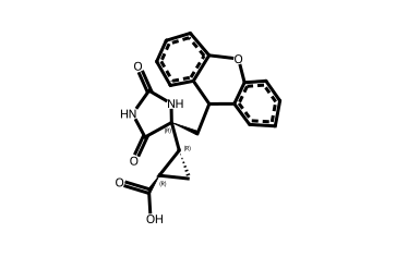 O=C1NC(=O)[C@@](CC2c3ccccc3Oc3ccccc32)([C@@H]2C[C@H]2C(=O)O)N1